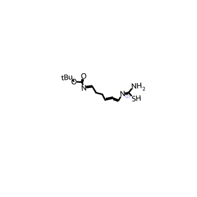 CC(C)(C)OC(=O)N=CCCC=C=C/N=C(/N)S